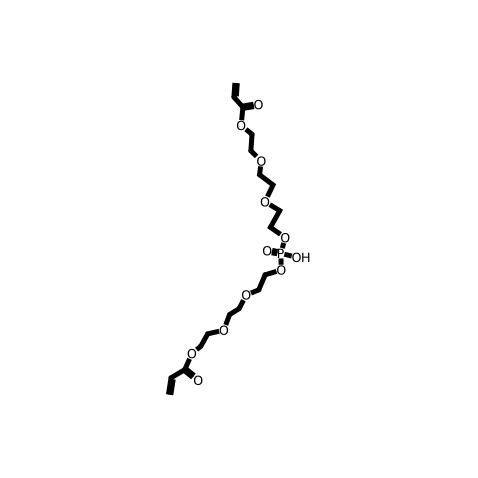 C=CC(=O)OCCOCCOCCOP(=O)(O)OCCOCCOCCOC(=O)C=C